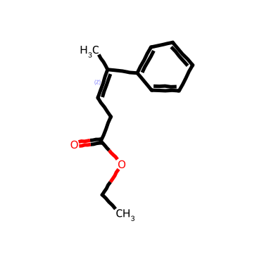 CCOC(=O)C/C=C(/C)c1ccccc1